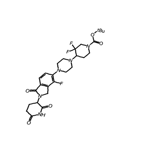 CC(C)(C)OC(=O)N1CCC(N2CCN(c3ccc4c(c3F)CN(C3CCC(=O)NC3=O)C4=O)CC2)C(F)(F)C1